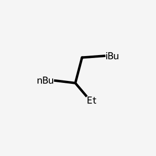 [CH2]CCCC(CC)CC([CH2])CC